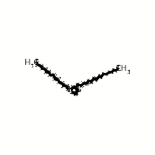 CCCCCCCCCCCCCCCCCc1ccc[n+](CCCCCCCCCCCCCCCC)c1